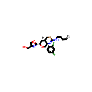 CC/C=C\C=C/NC1=N[C@@]2(c3ccc(F)cc3F)CO[C@@H](c3nc(CO)co3)C[C@H]2CS1